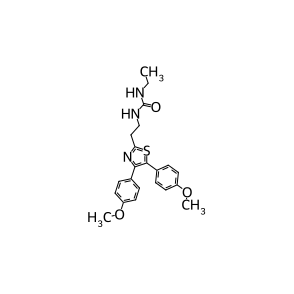 CCNC(=O)NCCc1nc(-c2ccc(OC)cc2)c(-c2ccc(OC)cc2)s1